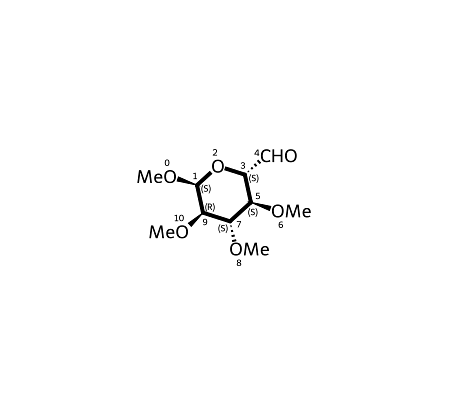 CO[C@H]1O[C@H](C=O)[C@@H](OC)[C@H](OC)[C@H]1OC